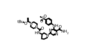 C=C(OC(C)(C)C)N1CCN(C(=O)NC2CCCN(c3cnc(C(N)=O)c(Nc4ccc(S(C)(=O)=O)cc4)n3)C2)CC1